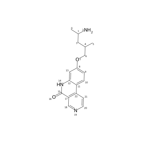 CC(N)CC(C)COc1ccc2c(c1)[nH]c(=O)c1cnccc12